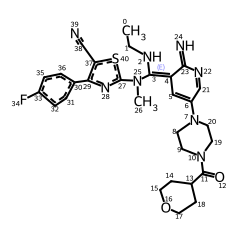 CCN/C(=C1/C=C(N2CCN(C(=O)C3CCOCC3)CC2)C=NC1=N)N(C)c1nc(-c2ccc(F)cc2)c(C#N)s1